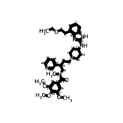 CCOCCc1cccc2[nH]c(NC3CCN(CCC(CN(C)C(=O)c4cc(OC)c(OC)c(OC)c4)c4cccnc4)CC3)nc12